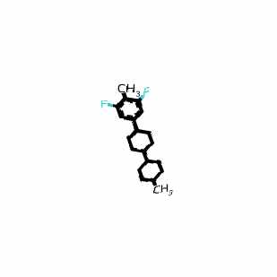 Cc1c(F)cc(C2CCC(C3CCC(C)CC3)CC2)cc1F